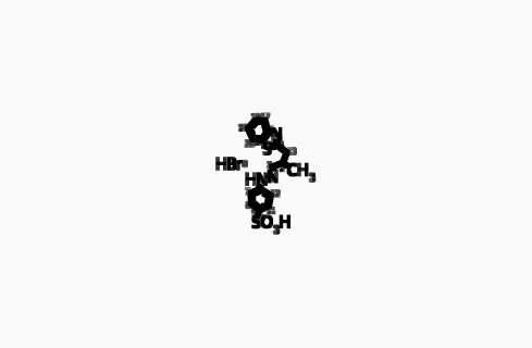 Br.CC(C=NNc1ccc(S(=O)(=O)O)cc1)Cc1nc2ccccc2s1